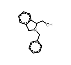 OCC1c2ccccc2CN1Cc1ccccc1